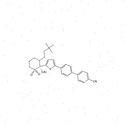 CC(=O)O[C@@]1(c2ccc(-c3ccc(-c4ccc(C#N)cc4)cc3)s2)C(CC[Si](C)(C)C)CCCS1(=O)=O